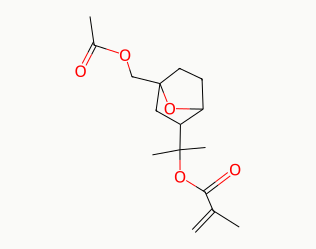 C=C(C)C(=O)OC(C)(C)C1CC2(COC(C)=O)CCC1O2